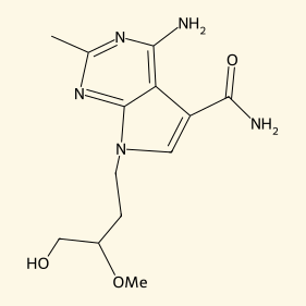 COC(CO)CCn1cc(C(N)=O)c2c(N)nc(C)nc21